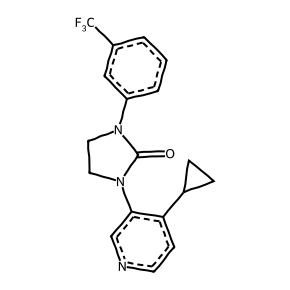 O=C1N(c2cccc(C(F)(F)F)c2)CCN1c1cnccc1C1CC1